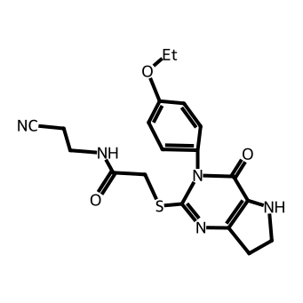 CCOc1ccc(-n2c(SCC(=O)NCCC#N)nc3c(c2=O)NCC3)cc1